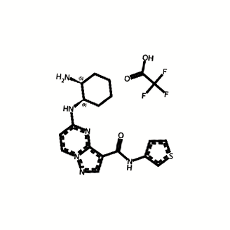 N[C@H]1CCCC[C@H]1Nc1ccn2ncc(C(=O)Nc3ccsc3)c2n1.O=C(O)C(F)(F)F